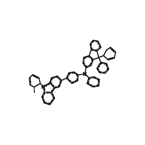 CC1C=CC=CC1n1c2ccccc2c2cc(-c3ccc(N(c4ccccc4)c4ccc5c(c4)C(c4ccccc4)(C4C=CC=CC4)c4ccccc4-5)cc3)ccc21